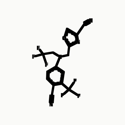 N#Cc1coc(CN(CC(F)(F)F)c2ccc(C#N)c(C(F)(F)F)c2)n1